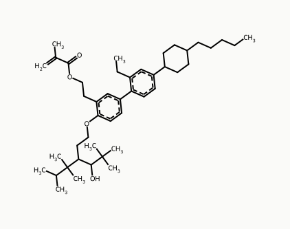 C=C(C)C(=O)OCCc1cc(-c2ccc(C3CCC(CCCCC)CC3)cc2CC)ccc1OCCC(C(O)C(C)(C)C)C(C)(C)C(C)C